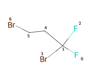 FC(F)(Br)CCBr